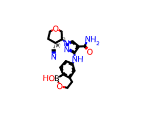 N#C[C@@H]1CCOC[C@H]1n1cc(C(N)=O)c(Nc2ccc3c(c2)CCOB3O)n1